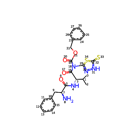 CC(C)[C@H](NC(=O)[C@@H](N)Cc1ccccc1)C(=O)N(C(=O)OCc1ccccc1)c1n[nH]c(=S)s1